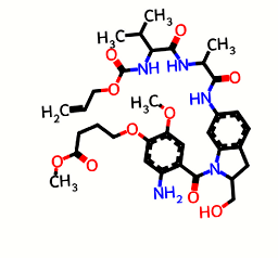 C=CCOC(=O)NC(C(=O)NC(C)C(=O)Nc1ccc2c(c1)N(C(=O)c1cc(OC)c(OCCCC(=O)OC)cc1N)C(CO)C2)C(C)C